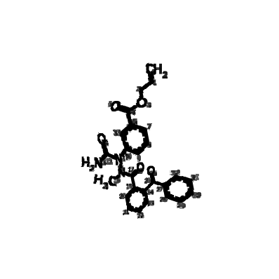 C=CCOC(=O)c1cccc(N(C(N)=O)N(C)C(=O)c2ccccc2C(=O)c2ccccc2)c1